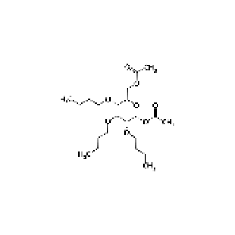 CCCCOC1[C@H](OCCCC)C(COC(C)=O)O[C@H](OC(C)=O)[C@@H]1OCCCC